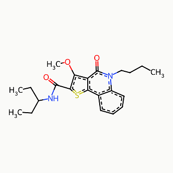 CCCCn1c(=O)c2c(OC)c(C(=O)NC(CC)CC)sc2c2ccccc21